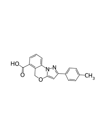 Cc1ccc(-c2cc3n(n2)-c2cccc(C(=O)O)c2CO3)cc1